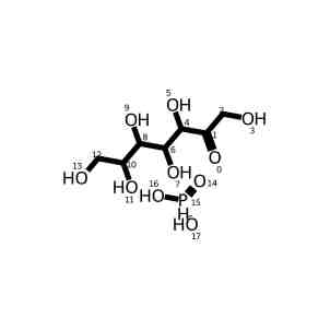 O=C(CO)C(O)C(O)C(O)C(O)CO.O=[PH](O)O